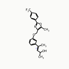 C/C(=C\C(C)O)c1cccc(OCc2nc(-c3ccc(C(F)(F)F)cc3)oc2C)c1